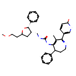 COCCC1C[C@@H](CNC(=O)NC2=C(C)C(C3=CNC(O)C=C3)=NCCC2c2ccccc2)[C@H](c2ccccc2)O1